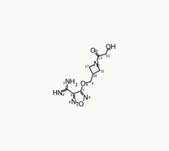 N=C(N)c1nonc1OCC1CN(C(=O)CO)C1